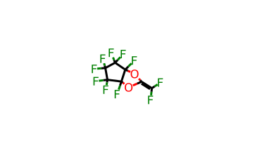 FC(F)=C1OC2(F)C(F)(F)C(F)(F)C(F)(F)C2(F)O1